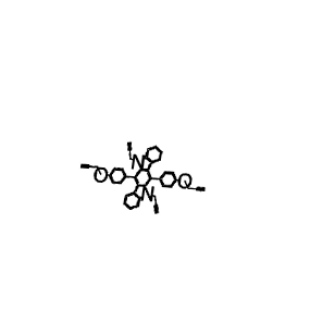 C#CCOc1ccc(-c2c3c4ccccc4n(CC#C)c3c(-c3ccc(OCC#C)cc3)c3c4ccccc4n(CC#C)c23)cc1